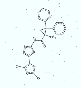 CC1(C(=O)Nc2nc(-c3cc(Cl)sc3Cl)cs2)CC1(c1ccccc1)c1ccccc1